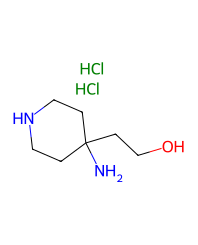 Cl.Cl.NC1(CCO)CCNCC1